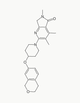 Cc1c(N2CCC(Oc3ccc4c(c3)COCC4)CC2)nc2c(c1C)C(=O)N(C)C2